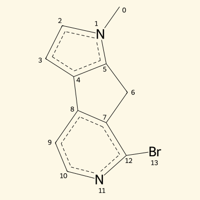 Cn1ccc2c1Cc1c-2ccnc1Br